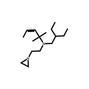 C/C=C\C(C)(C)N(CCN1CC1)CC(CC)CC